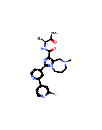 CNC(=O)[C@@H](NC(=O)c1nc(-c2ccnc(-c3ccnc(Cl)c3)c2)n2c1CN(C)CCC2)C(C)(C)C